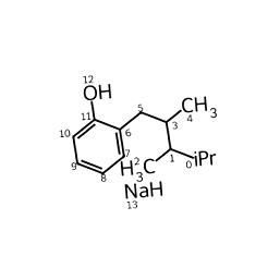 CC(C)C(C)C(C)Cc1ccccc1O.[NaH]